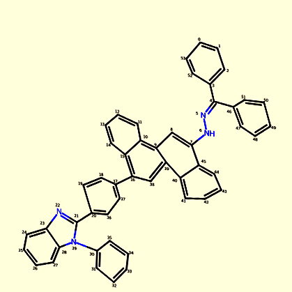 c1ccc(C(=NNc2cc3c4ccccc4c(-c4ccc(-c5nc6ccccc6n5-c5ccccc5)cc4)cc3c3ccccc23)c2ccccc2)cc1